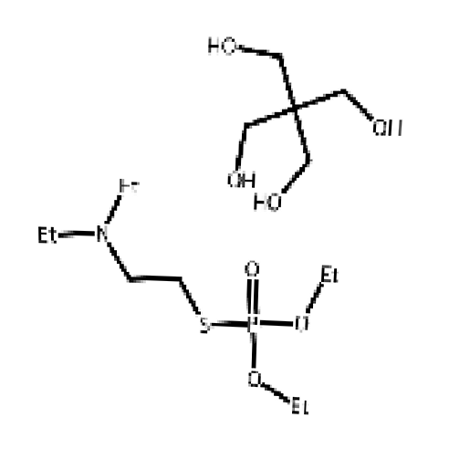 CCOP(=O)(OCC)SCCN(CC)CC.OCC(CO)(CO)CO